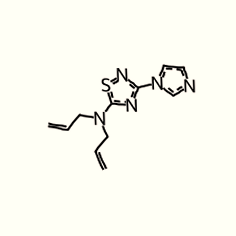 C=CCN(CC=C)c1nc(-n2ccnc2)ns1